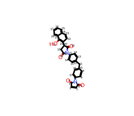 O=C1C=CC(=O)N1c1ccc(Cc2ccc(N3C(=O)CC(c4ccc5ccccc5c4O)C3=O)cc2)cc1